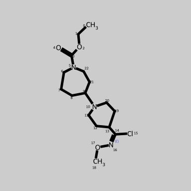 CCOC(=O)N1CCCC(N2CCC(/C(Cl)=N\OC)CC2)CC1